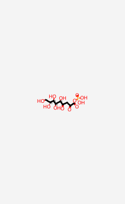 O=C(CC(=O)[C@H](O)[C@@H](O)[C@H](O)[C@H](O)CO)C(=O)OP(=O)(O)O